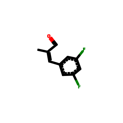 CC(C=O)=Cc1cc(F)cc(F)c1